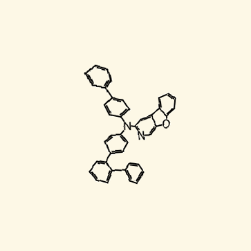 c1ccc(-c2ccc(N(c3ccc(-c4ccccc4-c4ccccc4)cc3)c3cc4c(cn3)oc3ccccc34)cc2)cc1